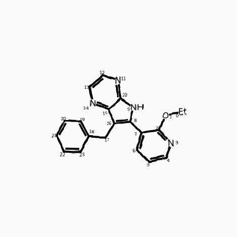 CCOc1ncccc1-c1[nH]c2nccnc2c1Cc1ccccc1